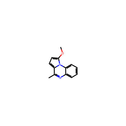 COc1ccc2c(C)nc3ccccc3n12